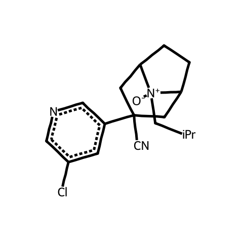 CC(C)C[N+]1([O-])C2CCC1CC(C#N)(c1cncc(Cl)c1)C2